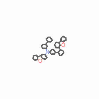 c1ccc(-c2cccc(N(c3ccc(-c4ccccc4-c4cccc5c4oc4ccccc45)cc3)c3ccc4oc5ccccc5c4c3)c2)cc1